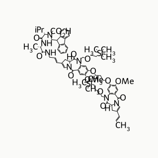 CC=CC1=CN2C(=O)c3cc(OC)c(OCCCOc4cc5c(cc4OC)C(=O)N4C=C(C=CCNC(=O)[C@H](C)NC(=O)[C@H](C(C)C)N(CC6c7ccccc7-c7ccccc76)C(=O)O)C[C@H]4C(=O)N5COCC[Si](C)(C)C)cc3N(COCC[Si](C)(C)C)C(=O)[C@@H]2C1